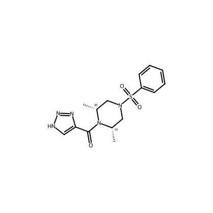 C[C@@H]1CN(S(=O)(=O)c2ccccc2)C[C@H](C)N1C(=O)c1c[nH]nn1